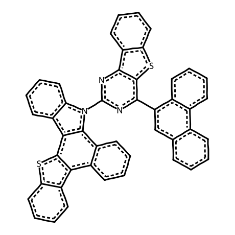 c1ccc2c(c1)cc(-c1nc(-n3c4ccccc4c4c5sc6ccccc6c5c5ccccc5c43)nc3c1sc1ccccc13)c1ccccc12